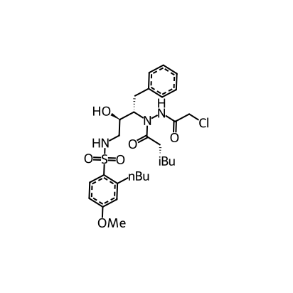 CCCCc1cc(OC)ccc1S(=O)(=O)NC[C@@H](O)[C@H](Cc1ccccc1)N(NC(=O)CCl)C(=O)C[C@@H](C)CC